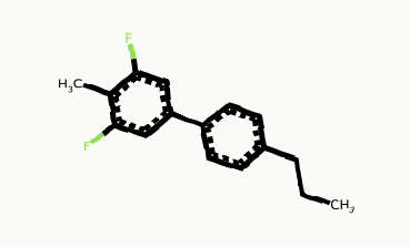 CCCc1ccc(-c2cc(F)c(C)c(F)c2)cc1